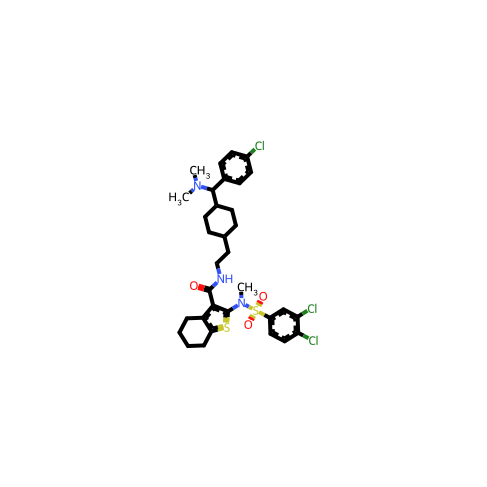 CN(C)C(c1ccc(Cl)cc1)C1CCC(CCNC(=O)c2c(N(C)S(=O)(=O)c3ccc(Cl)c(Cl)c3)sc3c2CCCC3)CC1